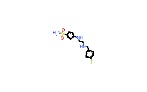 NS(=O)(=O)c1ccc(NCCNCc2ccc(F)cc2)cc1